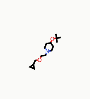 CC(C)(C)OC1CCN(CCOCC2CC2)CC1